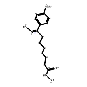 COc1ccc(/C(CCCCCCC(=O)NO)=N\O)cc1